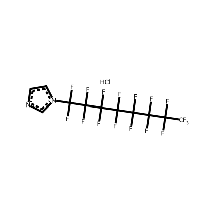 Cl.FC(F)(F)C(F)(F)C(F)(F)C(F)(F)C(F)(F)C(F)(F)C(F)(F)C(F)(F)n1ccnc1